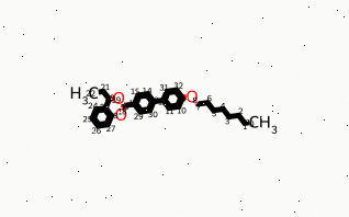 CCCCCCCCOc1ccc(-c2ccc(C(=O)OC(CC)c3ccccc3)cc2)cc1